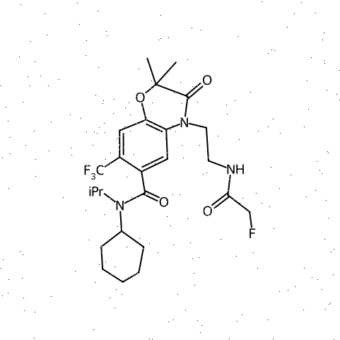 CC(C)N(C(=O)c1cc2c(cc1C(F)(F)F)OC(C)(C)C(=O)N2CCNC(=O)CF)C1CCCCC1